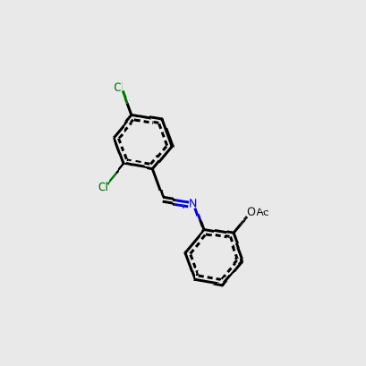 CC(=O)Oc1ccccc1N=Cc1ccc(Cl)cc1Cl